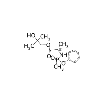 C[C@H](NP(C)(=O)Oc1ccccc1)C(=O)OCC(C)(C)O